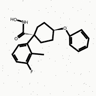 Cc1c(F)cccc1[C@]1(C(=O)NO)CC[C@H](Oc2ccccc2)CC1